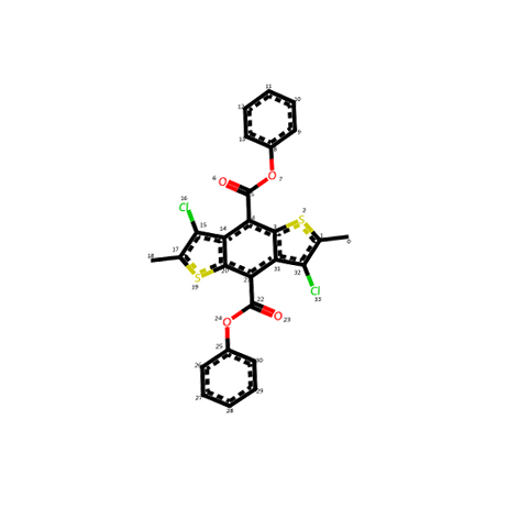 Cc1sc2c(C(=O)Oc3ccccc3)c3c(Cl)c(C)sc3c(C(=O)Oc3ccccc3)c2c1Cl